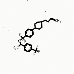 C=CCCC1CCC(c2ccc(C(F)(F)OC(C)c3ccc(C(F)(F)F)cc3)cc2)CC1